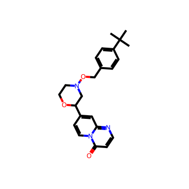 CC(C)(C)c1ccc(CON2CCOC(c3ccn4c(=O)ccnc4c3)C2)cc1